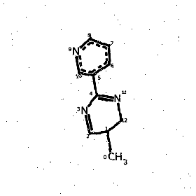 CC1C=NC(c2cccnc2)=NC1